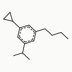 CCCCc1cc([C](C)C)cc(C2CC2)c1